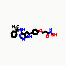 C[C@@H](Nc1ncnc2[nH]c(-c3ccc(OCCC(=O)NO)cc3)cc12)c1ccccc1